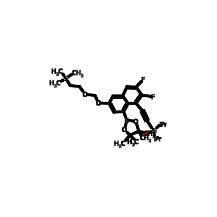 CC(C)[Si](C#Cc1c(F)c(F)cc2cc(OCOCC[Si](C)(C)C)cc(B3OC(C)(C)C(C)(C)O3)c12)(C(C)C)C(C)C